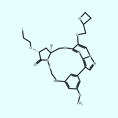 COc1cc2cc(c1)-c1cnn3cc(OCC4CCO4)c(nc13)OC[C@@H]1C[C@@H](OCCI)C(=O)N1CCN2